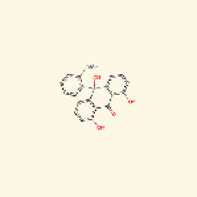 COc1ccccc1C1(O)c2cccc(O)c2C(=O)c2c(O)cccc21